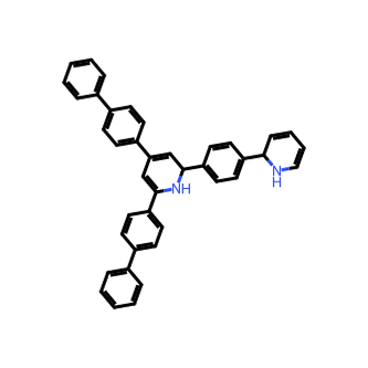 C1=CNC(c2ccc(C3C=C(c4ccc(-c5ccccc5)cc4)C=C(c4ccc(-c5ccccc5)cc4)N3)cc2)C=C1